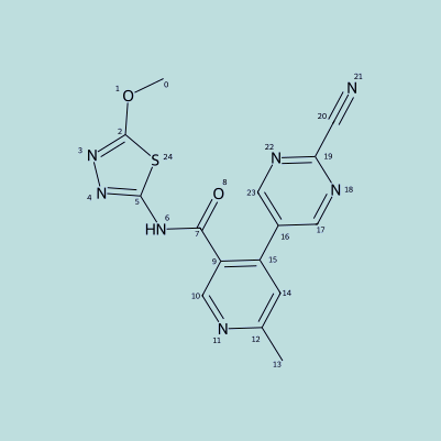 COc1nnc(NC(=O)c2cnc(C)cc2-c2cnc(C#N)nc2)s1